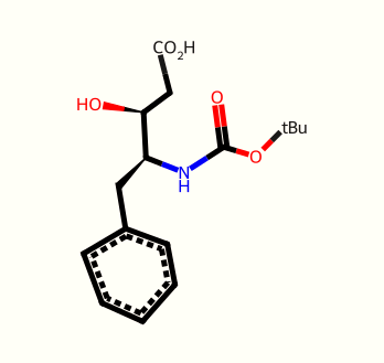 CC(C)(C)OC(=O)N[C@@H](Cc1ccccc1)[C@@H](O)CC(=O)O